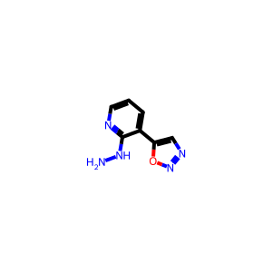 NNc1ncccc1-c1cnno1